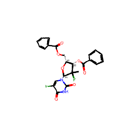 CC1(F)[C@@H](OC(=O)c2ccccc2)[C@@H](COC(=O)c2ccccc2)O[C@H]1n1cc(F)c(=O)[nH]c1=O